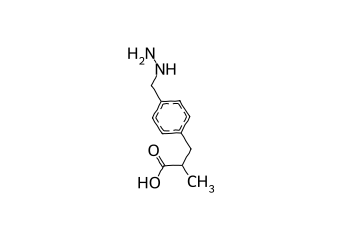 CC(Cc1ccc(CNN)cc1)C(=O)O